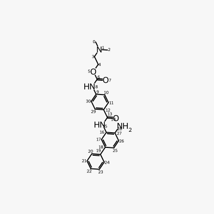 CN(C)CCOC(=O)Nc1ccc(C(=O)Nc2cc(-c3ccccc3)ccc2N)cc1